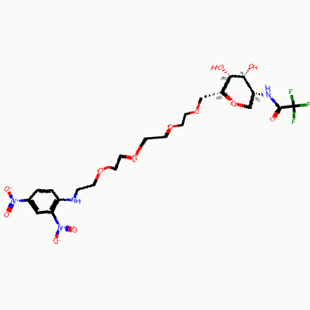 O=C(N[C@@H]1CO[C@H](COCCOCCOCCOCCNc2ccc([N+](=O)[O-])cc2[N+](=O)[O-])[C@H](O)[C@@H]1O)C(F)(F)F